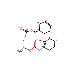 CCOC(=O)NC1=C(I)CCCC1.O=C(Cl)OCC1CC=CCC1